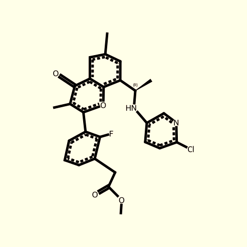 COC(=O)Cc1cccc(-c2oc3c([C@@H](C)Nc4ccc(Cl)nc4)cc(C)cc3c(=O)c2C)c1F